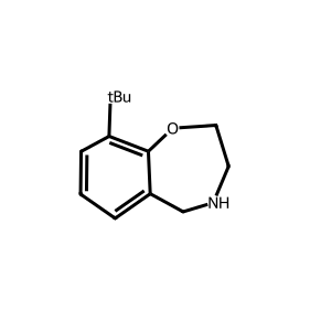 CC(C)(C)c1cccc2c1OCCNC2